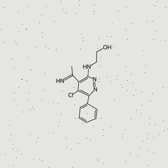 CC(=N)c1c(NCCO)nnc(-c2ccccc2)c1Cl